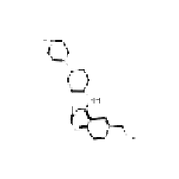 N#CCc1ccc2ncnc(N[C@H]3CC[C@H](N4CCNCC4)CC3)c2c1